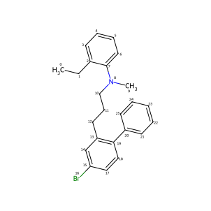 CCc1ccccc1N(C)CCCc1cc(Br)ccc1-c1ccccc1